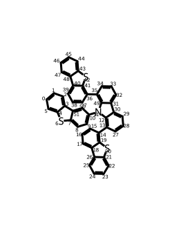 c1ccc2c(c1)sc1ccc(-n3c4c(-c5cccc6c5sc5ccccc56)cccc4c4cccc(-c5cccc6c5sc5ccccc56)c43)cc12